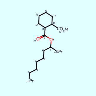 CCCC(CCCCCC(C)C)OC(=O)C1CCCCC1C(=O)O